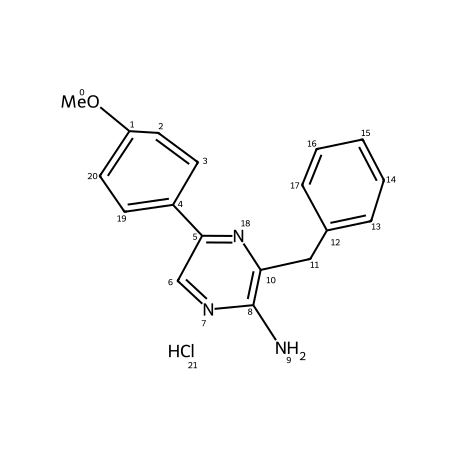 COc1ccc(-c2cnc(N)c(Cc3ccccc3)n2)cc1.Cl